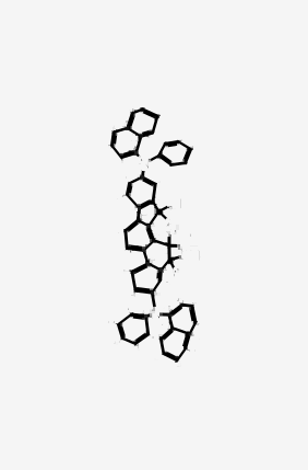 CC1(C)c2cc(N(c3ccccc3)c3cccc4ccccc34)ccc2-c2ccc3c(c21)C(C)(C)C(C)(C)c1cc(N(c2ccccc2)c2cccc4ccccc24)ccc1-3